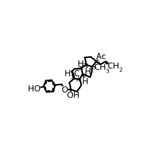 C=CC[C@]1(C(C)=O)CC[C@H]2[C@@H]3CC=C4CC(O)(OCc5ccc(O)cc5)CC[C@]4(C)[C@H]3CC[C@@]21C